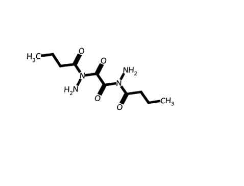 CCCC(=O)N(N)C(=O)C(=O)N(N)C(=O)CCC